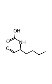 CCCCC(C=O)NC(=O)O